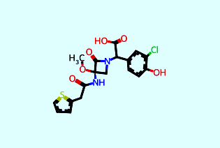 CO[C@@]1(NC(=O)Cc2cccs2)CN(C(C(=O)O)c2ccc(O)c(Cl)c2)C1=O